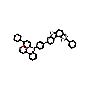 c1ccc(-c2ccc(N(c3ccc(-c4ccc5c(c4)oc4ccc6nc(-c7ccccc7)oc6c45)cc3)c3ccccc3-c3ccccc3)cc2)cc1